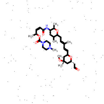 CO[C@]1(C)CC(/C=C/C(C)=C/CC2OC(C)C(NC(=O)/C=C\C(C)OC(=O)N3CCN(C)CC3)CC2C)O[C@H](CC=O)C1